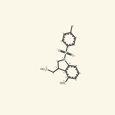 Cc1ccc(S(=O)(=O)N2CC(CC(=O)O)c3c(C=O)cccc32)cc1